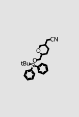 CC(C)(C)[Si](OCC1CCC(CC#N)CO1)(c1ccccc1)c1ccccc1